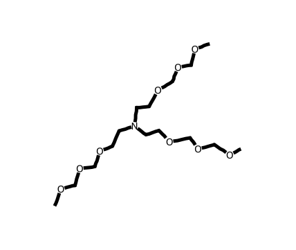 COCOCOCCN(CCOCOCOC)CCOCOCOC